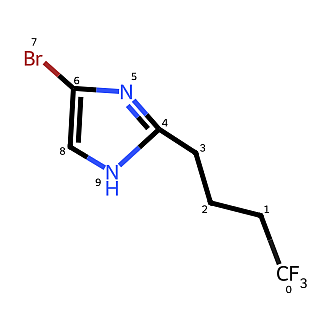 FC(F)(F)CCCc1nc(Br)c[nH]1